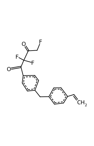 C=Cc1ccc(Cc2ccc(C(=O)C(F)(F)C(=O)CF)cc2)cc1